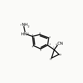 N#CC1(c2ccc(NN)cc2)CC1